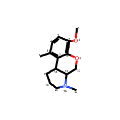 COc1ccc(C)c2c1OCC1C2CCCN1C